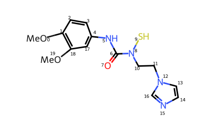 COc1ccc(NC(=O)N(S)CCn2ccnc2)cc1OC